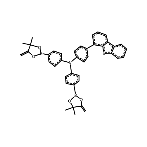 C=C1OB(c2ccc(N(c3ccc(B4OC(=C)C(C)(C)O4)cc3)c3ccc(-c4cccc5c4sc4ccccc45)cc3)cc2)OC1(C)C